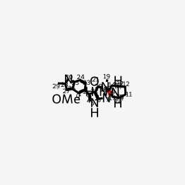 COc1c(-c2c[nH]c3nc(N4[C@@H]5CC[C@H]4C[C@@H](N)C5)n(C)c(=O)c23)ccc2c1=CC(C)N=2